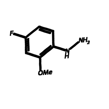 COc1cc(F)ccc1NN